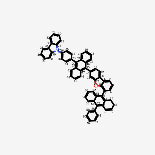 C1=Cc2c(c(-c3cccc4c3oc3cc(-c5c6ccccc6c(-c6ccc(-n7c8ccccc8c8ccccc87)cc6)c6ccccc56)ccc34)c3ccccc3c2-c2ccccc2)CC1